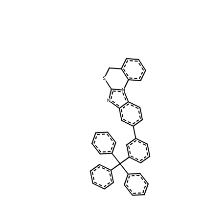 c1ccc(C(c2ccccc2)(c2ccccc2)c2cccc(-c3ccc4c(c3)nc3n4-c4ccccc4CS3)c2)cc1